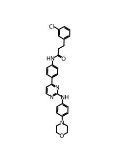 O=C(CCc1cccc(Cl)c1)Nc1ccc(-c2ccnc(Nc3ccc(N4CCOCC4)cc3)n2)cc1